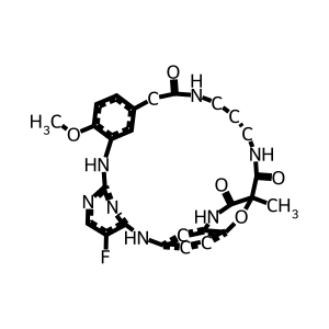 COc1ccc2cc1Nc1ncc(F)c(n1)Nc1ccc3c(c1)NC(=O)C(C)(O3)C(=O)NCCCNC(=O)C2